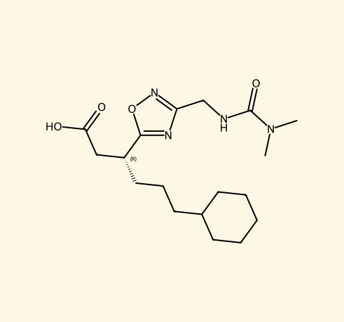 CN(C)C(=O)NCc1noc([C@H](CCCC2CCCCC2)CC(=O)O)n1